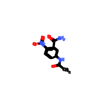 CC(=O)Nc1ccc([N+](=O)[O-])c(C(N)=O)c1